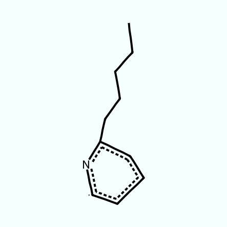 CCCCCc1ccc[c]n1